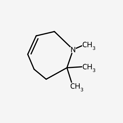 CN1CC=CCCC1(C)C